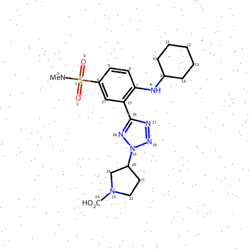 CNS(=O)(=O)c1ccc(NC2CCCCC2)c(-c2nnn(C3CCN(C(=O)O)C3)n2)c1